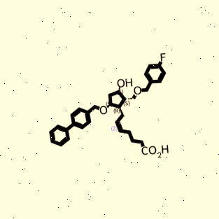 O=C(O)CCC/C=C\C[C@@H]1[C@@H](COCc2ccc(F)cc2)[C@@H](O)C[C@@H]1OCc1ccc(-c2ccccc2)cc1